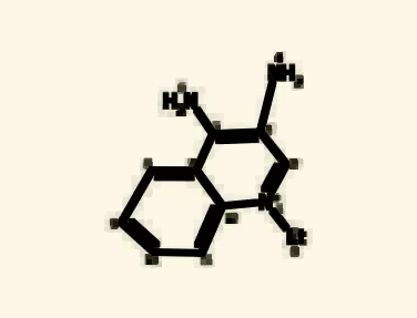 CC[n+]1cc(N)c(N)c2ccccc21